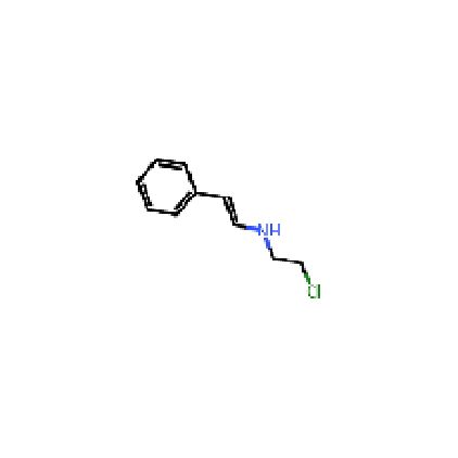 ClCCNC=Cc1ccccc1